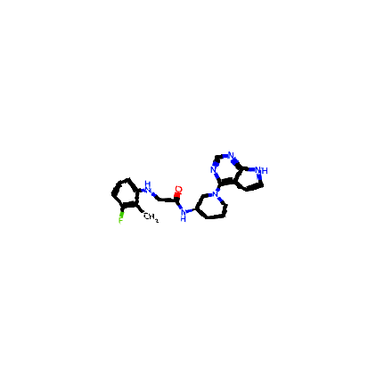 Cc1c(F)cccc1NCC(=O)N[C@@H]1CCCN(c2ncnc3[nH]ccc23)C1